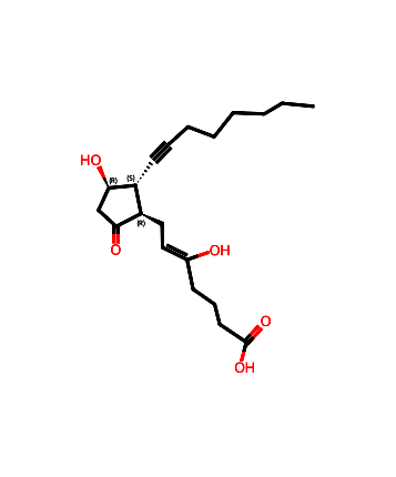 CCCCCCC#C[C@H]1[C@H](O)CC(=O)[C@@H]1CC=C(O)CCCC(=O)O